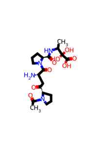 CC(=O)N1CCC[C@H]1C(=O)C[C@H](N)C(=O)N1CCC[C@H]1C(=O)NC(C)C(O)(O)C(=O)O